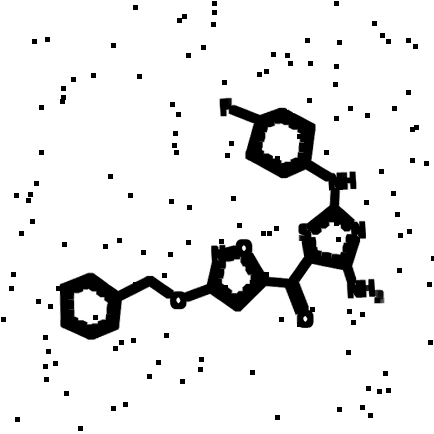 Nc1nc(Nc2ccc(F)cc2)sc1C(=O)c1cc(OCc2ccccc2)no1